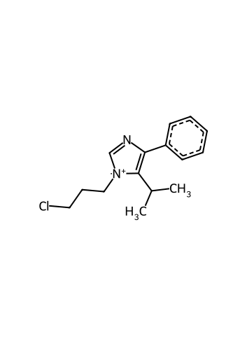 CC(C)C1=C(c2ccccc2)N=C[N+]1CCCCl